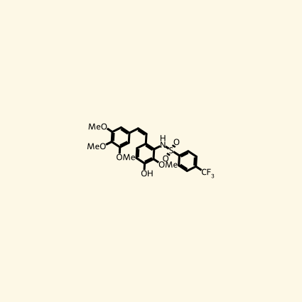 COc1cc(/C=C\c2ccc(O)c(OC)c2NS(=O)(=O)c2ccc(C(F)(F)F)cc2)cc(OC)c1OC